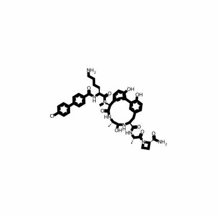 C[C@H](NC(=O)[C@@H]1Cc2ccc(O)c(c2)-c2cc(ccc2O)[C@H](N(C)C(=O)[C@H](CCCCN)NC(=O)c2ccc(-c3ccc(Cl)cc3)cc2)C(=O)N[C@@H](C)C(O)N1)C(=O)N1CC[C@H]1C(N)=O